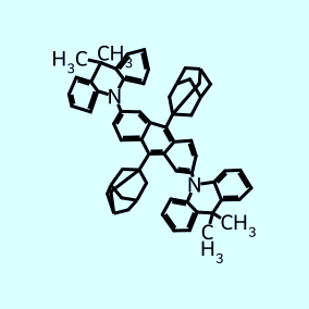 CC1(C)c2ccccc2N(c2ccc3c(C45CC6CC(CC(C6)C4)C5)c4cc(N5c6ccccc6C(C)(C)c6ccccc65)ccc4c(C45CC6CC(CC(C6)C4)C5)c3c2)c2ccccc21